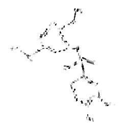 COc1ccc(OC)c(NS(=O)(=O)c2ccc(O)c(N)c2)c1